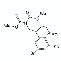 CC(C)(C)OC(=O)N(CC1=CCC(=O)c2c(C#N)cc(Br)cc21)C(=O)OC(C)(C)C